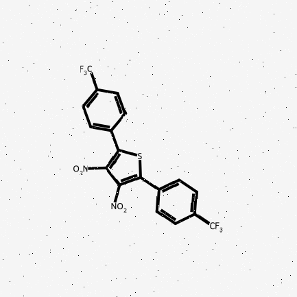 O=[N+]([O-])c1c(-c2ccc(C(F)(F)F)cc2)sc(-c2ccc(C(F)(F)F)cc2)c1[N+](=O)[O-]